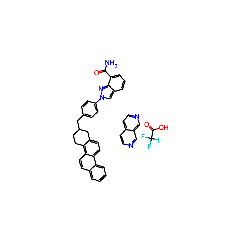 NC(=O)c1cccc2cn(-c3ccc(CC4CCc5c(ccc6c5ccc5ccccc56)C4)cc3)nc12.O=C(O)C(F)(F)F.c1cc2ccncc2cn1